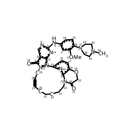 COc1cc(Nc2ncc3c(=O)n4n(c3n2)-c2ccc3c(n2)N(CCCCCC#CC4)C(=O)CO3)ccc1N1CCN(C)CC1